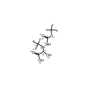 CC(C)(C)OC(=O)N[C@H]([C@@H](O)C(=O)O)C(C)(F)F